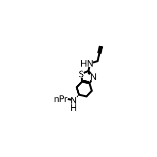 C#CCNc1nc2c(s1)C[C@@H](NCCC)CC2